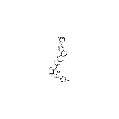 C=C/C(=C\OC)c1cc2nccc(Oc3ccc(NC(=O)C4(C(=O)Nc5ccc(C)cc5)CC4)cc3F)c2cn1